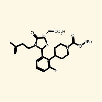 C=C(C)CCN1C(=O)[C@H](CC(=O)O)SC1c1cccc(F)c1C1CCN(C(=O)OC(C)(C)C)CC1